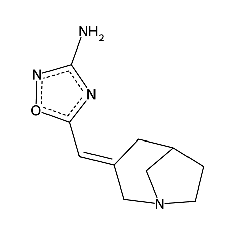 Nc1noc(C=C2CC3CCN(C2)C3)n1